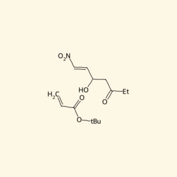 C=CC(=O)OC(C)(C)C.CCC(=O)CC(O)C=C[N+](=O)[O-]